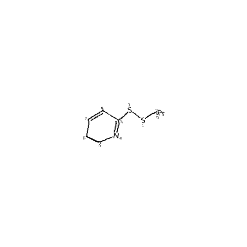 CC(C)SSC1=NCCC=C1